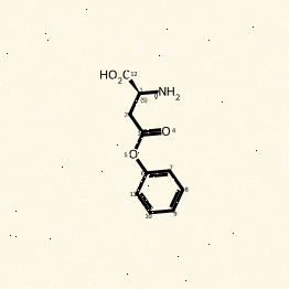 N[C@@H](CC(=O)Oc1ccccc1)C(=O)O